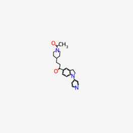 CC(=O)N1CCC(CCC(=O)c2ccc3c(c2)CCN3c2ccncc2)CC1